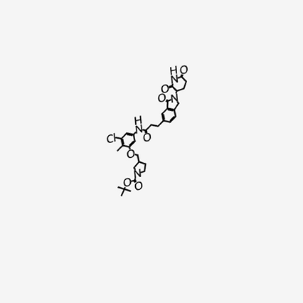 Cc1c(Cl)cc(NC(=O)CCc2ccc3c(c2)C(=O)N(C2CCC(=O)NC2=O)C3)cc1OCC1CCN(C(=O)OC(C)(C)C)C1